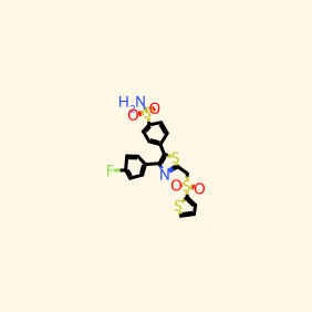 NS(=O)(=O)c1ccc(-c2sc(CS(=O)(=O)c3cccs3)nc2-c2ccc(F)cc2)cc1